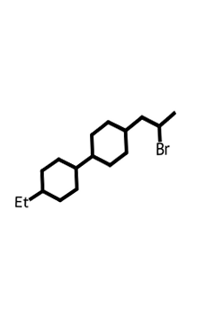 CCC1CCC(C2CCC(CC(C)Br)CC2)CC1